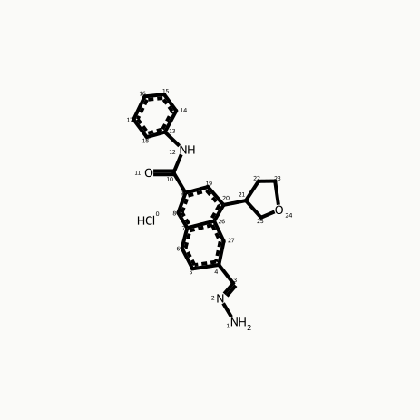 Cl.NN=Cc1ccc2cc(C(=O)Nc3ccccc3)cc(C3CCOC3)c2c1